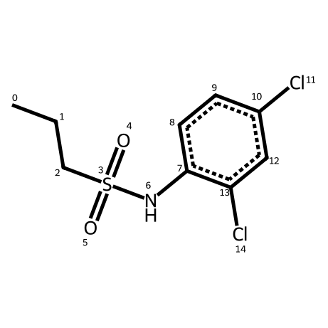 CCCS(=O)(=O)Nc1ccc(Cl)cc1Cl